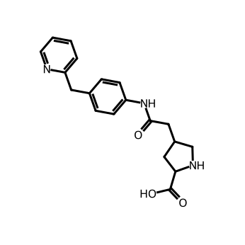 O=C(CC1CNC(C(=O)O)C1)Nc1ccc(Cc2ccccn2)cc1